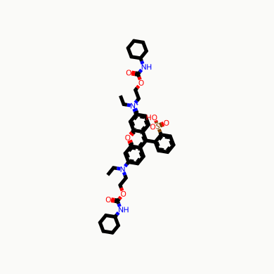 CCN(CCOC(=O)NC1CCCCC1)c1ccc2c(-c3ccccc3S(=O)(=O)O)c3cc/c(=[N+](/CC)CCOC(=O)NC4CCCCC4)cc-3oc2c1